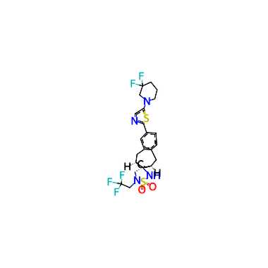 O=S1(=O)N[C@@]2(CN1CC(F)(F)F)[C@@H]1CC[C@H]2Cc2ccc(-c3ncc(N4CCCC(F)(F)C4)s3)cc2C1